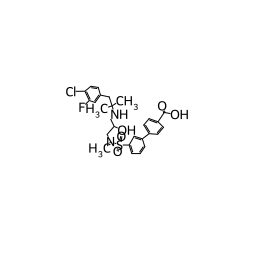 CN(CC(O)CNC(C)(C)Cc1ccc(Cl)c(F)c1)S(=O)(=O)c1cccc(-c2ccc(C(=O)O)cc2)c1